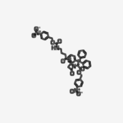 O=C(NCCCC(=O)S[C@H]1CC(=O)N1C(C(=O)OCc1ccc([N+](=O)[O-])cc1)=P(c1ccccc1)(c1ccccc1)c1ccccc1)OCc1ccc([N+](=O)[O-])cc1